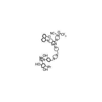 CC(C)c1cc(-c2nnc(O)n2-c2ccc(CN3CCN(CC4CCN(c5nc6c(c(N7CCN(C(=O)C(F)(F)F)C(CC#N)C7)n5)CCN(c5cccc7cccc(Cl)c57)C6)CC4)CC3)cc2)c(O)cc1O